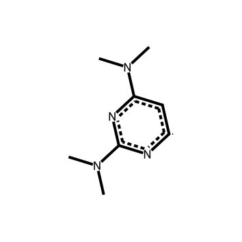 CN(C)c1c[c]nc(N(C)C)n1